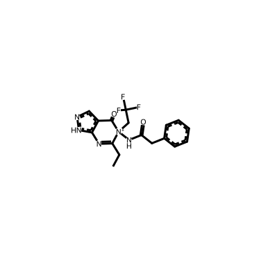 CCC1=Nc2[nH]ncc2C(=O)[N+]1(CC(F)(F)F)NC(=O)Cc1ccccc1